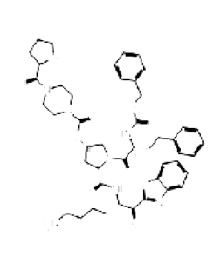 NCCCC[C@H](NC(=O)[C@@H]1C[C@@H](OC(=O)N2CCN(C(=O)C3CCCO3)CC2)CN1C(=O)[C@@H](CCc1ccccc1)NC(=O)OCc1ccccc1)C(=O)c1nc2ccccc2o1